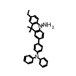 CCc1ccc2c(c1)C(C)(C)c1cc(-c3ccc(N(c4ccccc4)c4ccccc4)cc3)ccc1N2N